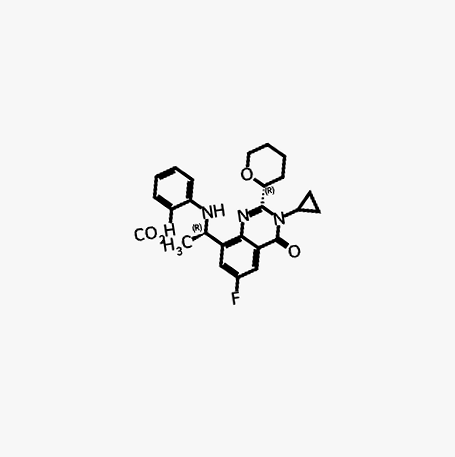 C[C@@H](Nc1ccccc1C(=O)O)c1cc(F)cc2c(=O)n(C3CC3)c([C@H]3CCCCO3)nc12